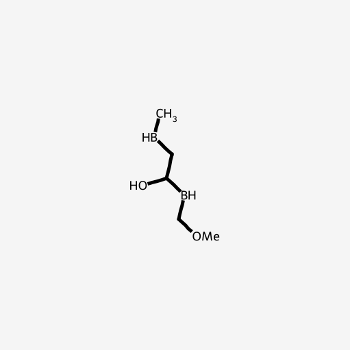 CBCC(O)BCOC